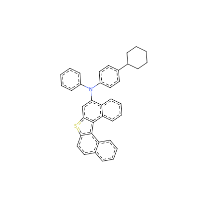 c1ccc(N(c2ccc(C3CCCCC3)cc2)c2cc3sc4ccc5ccccc5c4c3c3ccccc23)cc1